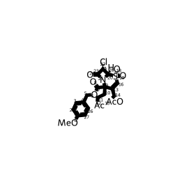 COc1ccc(COC(=O)C2(CCC(C)=O)C(COC(C)=O)=CS(=O)(=O)[C@H]3[C@@H](Cl)C(=O)N32)cc1